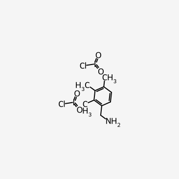 Cc1ccc(CN)c(C)c1C.O=I(=O)Cl.O=I(=O)Cl